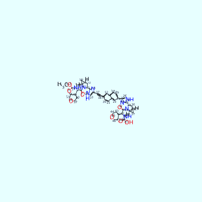 COC(=O)NC(C(=O)N1[C@@H]2C[C@@H]2C[C@H]1c1nc(C#Cc2ccc3cc(-c4c[nH]c([C@@H]5C[C@H]6C[C@H]6N5C(=O)C(NC(=O)O)C5CCOCC5)n4)ccc3c2)c[nH]1)C1CCOCC1